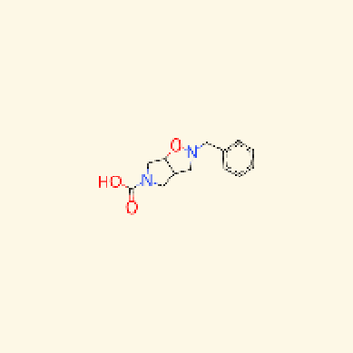 O=C(O)N1CC2CN(Cc3ccccc3)OC2C1